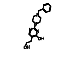 OCCc1cnc(N2CCN(Cc3ccccc3)CC2)nc1O